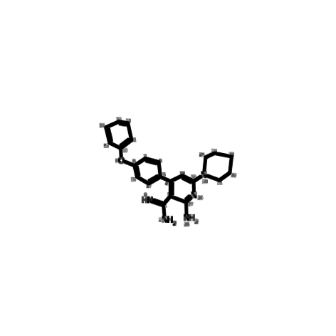 N=C(N)c1c(-c2ccc(Oc3ccccc3)cc2)cc(N2CCCCC2)nc1N